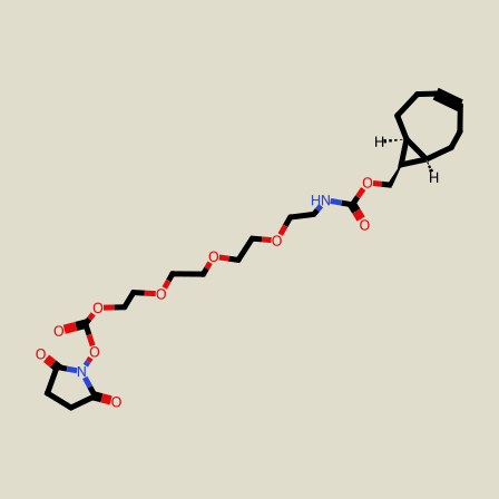 O=C(NCCOCCOCCOCCOC(=O)ON1C(=O)CCC1=O)OC[C@@H]1[C@@H]2CCC#CCC[C@@H]21